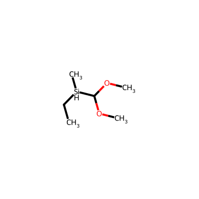 CC[SiH](C)C(OC)OC